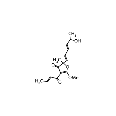 C/C=C/C(=O)C1=C(OC)OC(C)(/C=C/C=C/C(C)O)C1=O